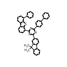 CC1(C)c2ccccc2-c2ccc(-c3nc(-c4ccc(-c5ccccc5)cc4)nc(-c4cccc5c4sc4c(-c6ccccc6)cccc45)n3)cc21